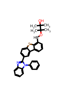 CC(C)(O)C(C)(C)OBc1cccc2c1sc1ccc(-c3nc4ccccc4n3-c3ccccc3)cc12